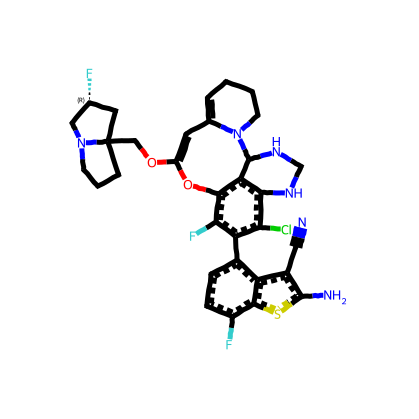 N#Cc1c(N)sc2c(F)ccc(-c3c(F)c4c5c(c3Cl)NCNC5N3CCCC=C3C=C(OCC35CCCN3C[C@H](F)C5)O4)c12